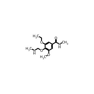 CCOc1cc(C(=O)NC)cc(OC)c1OCNC